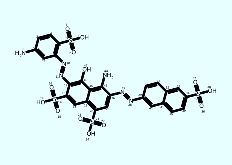 Nc1ccc(S(=O)(=O)O)c(N=Nc2c(S(=O)(=O)O)cc3c(S(=O)(=O)O)cc(N=Nc4ccc5cc(S(=O)(=O)O)ccc5c4)c(N)c3c2O)c1